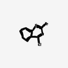 Clc1nc(Br)nc2ccccc12